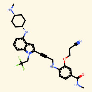 CNC(=O)c1ccc(NCC#Cc2cc3c(N[C@H]4CC[C@H](NC)CC4)cccc3n2CC(F)(F)F)c(OCCC#N)c1